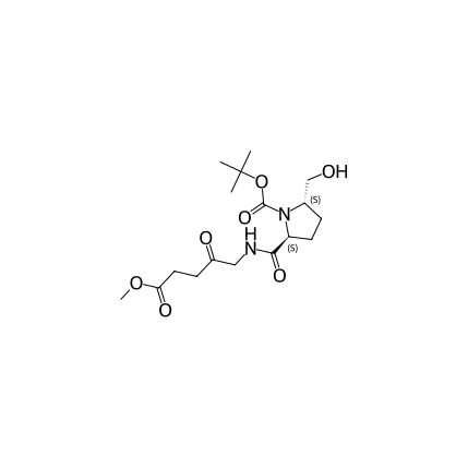 COC(=O)CCC(=O)CNC(=O)[C@@H]1CC[C@@H](CO)N1C(=O)OC(C)(C)C